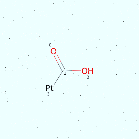 O=[C](O)[Pt]